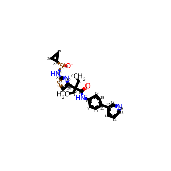 CCC(CC)(C(=O)Nc1ccc(-c2cccnc2)cc1)c1csc(N[S+]([O-])C2CC2)n1